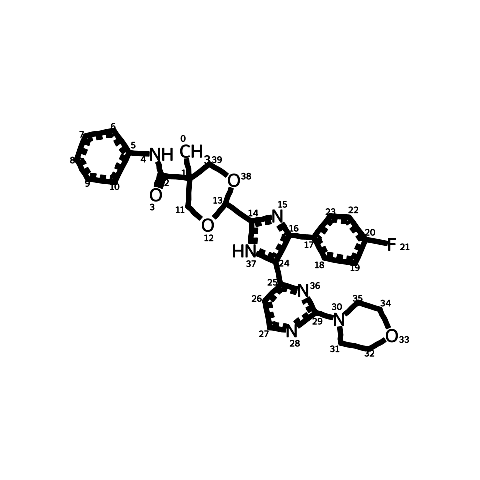 CC1(C(=O)Nc2ccccc2)COC(c2nc(-c3ccc(F)cc3)c(-c3ccnc(N4CCOCC4)n3)[nH]2)OC1